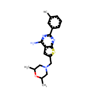 CC1CN(Cc2cc3c(N)nc(-c4cccc(C#N)c4)nc3s2)CC(C)O1